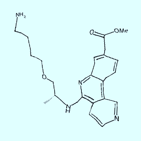 COC(=O)c1ccc2c(c1)nc(N[C@H](C)COCCCCN)c1ccncc12